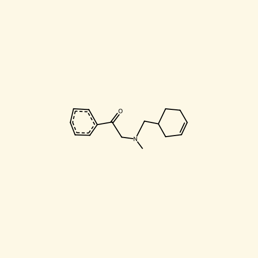 CN(CC(=O)c1ccccc1)CC1CC=CCC1